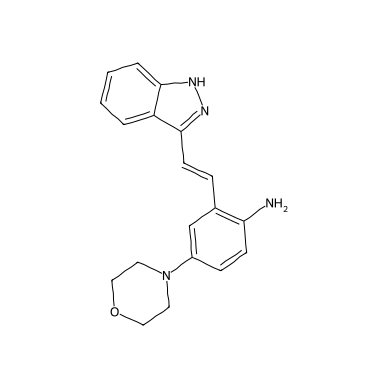 Nc1ccc(N2CCOCC2)cc1/C=C/c1n[nH]c2ccccc12